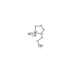 Cl.OCCC1CCCN1